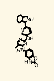 Cc1cnc(Nc2ccc(C3NCC4CCCCC43)nc2)nc1Nc1ccc2oc(=O)[nH]c2c1